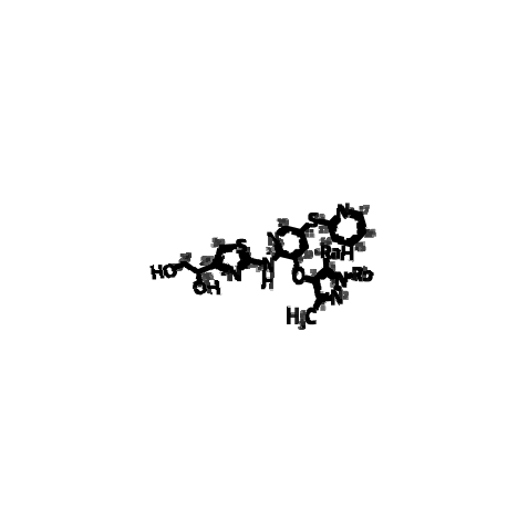 Cc1n[n]([Rb])[c]([RaH])c1Oc1cc(Sc2ccccn2)cnc1Nc1nc(C(O)CO)cs1